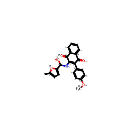 Cc1ccc(C(O)NC2=C(c3ccc(OC(F)(F)F)cc3)C(=O)c3ccccc3C2=O)o1